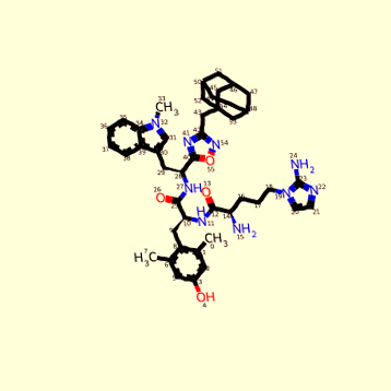 Cc1cc(O)cc(C)c1C[C@H](NC(=O)[C@H](N)CCCn1ccnc1N)C(=O)N[C@@H](Cc1cn(C)c2ccccc12)c1nc(CC23CC4CC(CC(C4)C2)C3)no1